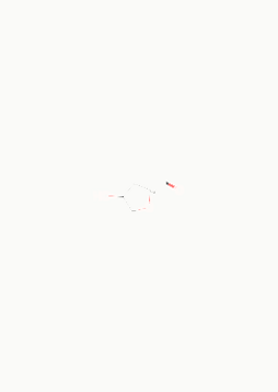 O=C[C@H]1CC(O)CO1